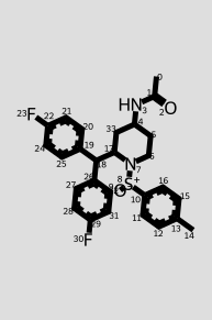 CC(=O)NC1CCN([S+]([O-])c2ccc(C)cc2)C(C(c2ccc(F)cc2)c2ccc(F)cc2)C1